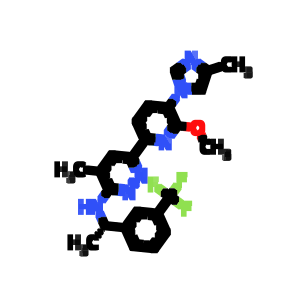 COc1nc(-c2cc(C)c(N[C@@H](C)c3cccc(C(F)(F)F)c3)nn2)ccc1-n1cnc(C)c1